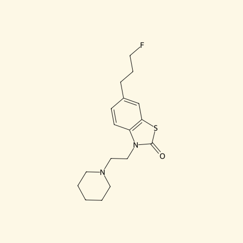 O=c1sc2cc(CCCF)ccc2n1CCN1CCCCC1